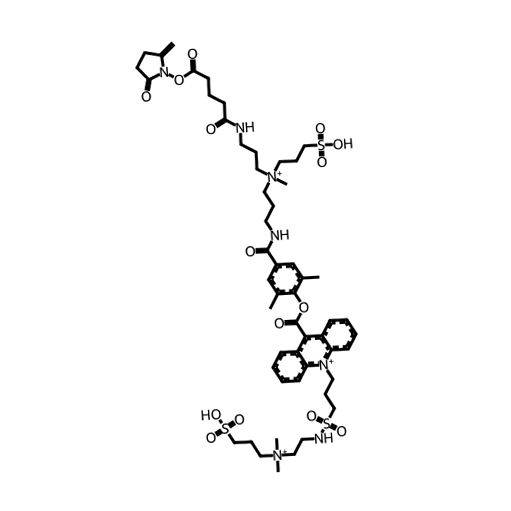 C=C1CCC(=O)N1OC(=O)CCCC(=O)NCCC[N+](C)(CCCNC(=O)c1cc(C)c(OC(=O)c2c3ccccc3[n+](CCCS(=O)(=O)NCC[N+](C)(C)CCCS(=O)(=O)O)c3ccccc23)c(C)c1)CCCS(=O)(=O)O